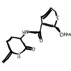 C=C1CCC(NC(=O)c2ccsc2OC)C(=O)N1